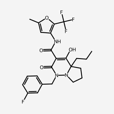 CCCC12CCCN1N(Cc1cccc(F)c1)C(=O)C(C(=O)Nc1cc(C)oc1C(F)(F)F)=C2O